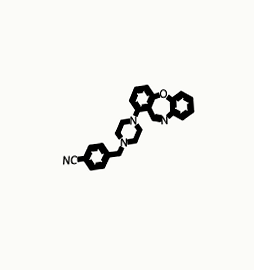 N#Cc1ccc(CN2CCN(c3cccc4c3C=Nc3ccccc3O4)CC2)cc1